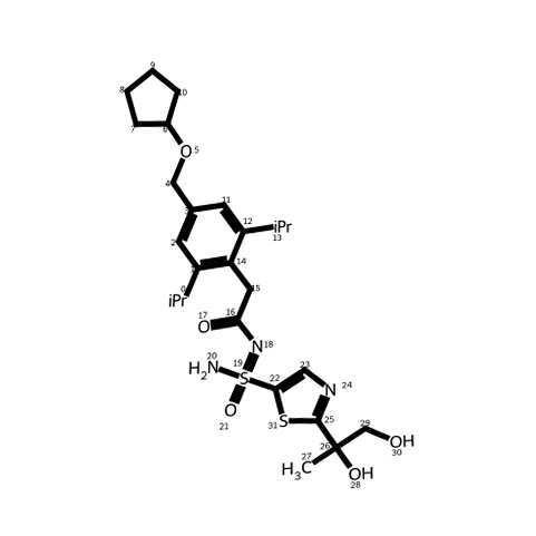 CC(C)c1cc(COC2CCCC2)cc(C(C)C)c1CC(=O)N=S(N)(=O)c1cnc(C(C)(O)CO)s1